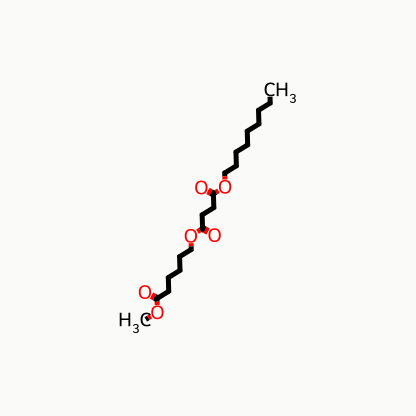 CCCCCCCCCOC(=O)CCC(=O)OCCCCCC(=O)OC